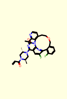 C=CC(=O)N1C[C@H](C)N(c2nc(=O)n3c4nc(c(F)cc24)-c2c(F)cccc2COCCc2ccnc(C(C)C)c2-3)C[C@H]1C